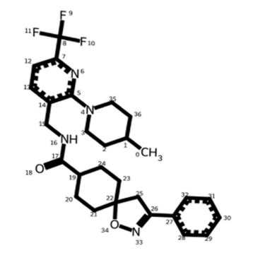 CC1CCN(c2nc(C(F)(F)F)ccc2CNC(=O)C2CCC3(CC2)CC(c2ccccc2)=NO3)CC1